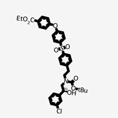 CCOC(=O)c1ccc(Oc2ccc(S(=O)(=O)c3ccc(CCN(C[C@@H](O)c4cccc(Cl)c4)C(=O)OC(C)(C)C)cc3)cc2)cc1